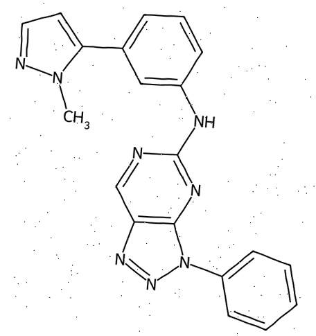 Cn1nccc1-c1cccc(Nc2ncc3nnn(-c4ccccc4)c3n2)c1